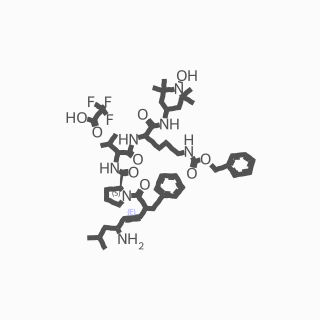 CC(C)CC(N)/C=C/C(Cc1ccccc1)C(=O)N1CCC[C@H]1C(=O)NC(C(=O)NC(CCCNC(=O)OCc1ccccc1)C(=O)NC1CC(C)(C)N(O)C(C)(C)C1)C(C)C.O=C(O)C(F)(F)F